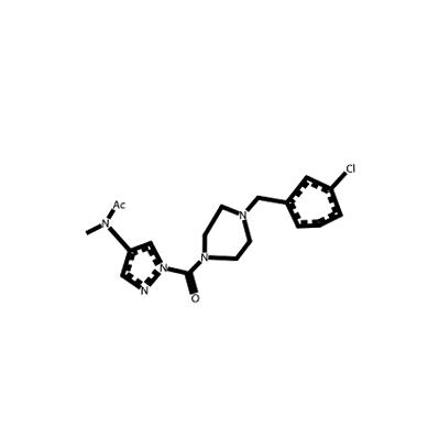 CC(=O)N(C)c1cnn(C(=O)N2CCN(Cc3cccc(Cl)c3)CC2)c1